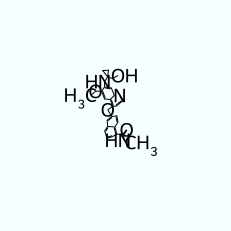 CNC(=O)c1cccc2cc(Oc3ccnc4cc(NC5(CO)CC5)c(OC)cc34)ccc12